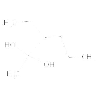 CCCC(CC)C(C)(O)O